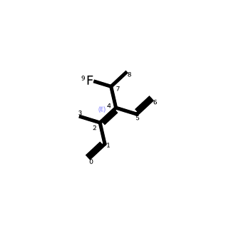 C=C/C(C)=C(\C=C)C(C)F